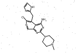 CN1CCN(c2nc(N)c3c(Cc4ncc[nH]4)c(Cl)ncc3n2)CC1